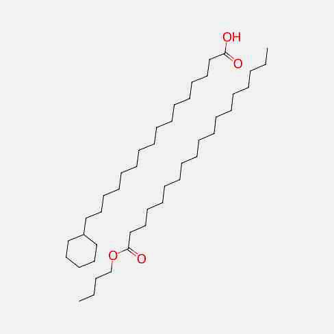 CCCCCCCCCCCCCCCCCC(=O)OCCCC.O=C(O)CCCCCCCCCCCCCCCC1CCCCC1